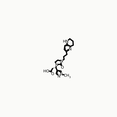 Cn1cc([C@H](CC(=O)O)N2CCN(CCCc3ccc4c(n3)CCCN4)C2=O)cn1